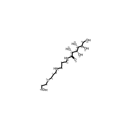 CCCCCCCCCCCCOCCCNCCCNC(=O)[C@H](O)[C@@H](O)[C@H](O)[C@H](O)CO